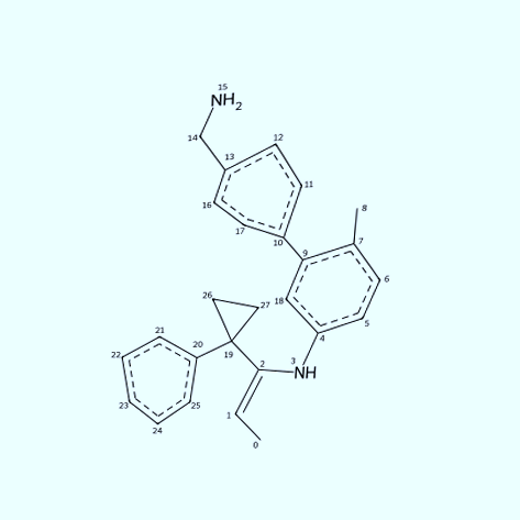 C/C=C(\Nc1ccc(C)c(-c2ccc(CN)cc2)c1)C1(c2ccccc2)CC1